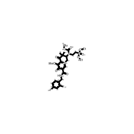 CCOP(=O)(CCN(C(=O)OC(C)(C)C)C1Cn2cc(C(=O)NCc3ccc(F)cc3F)c(=O)c(OC)c2C(=O)C1(C)C)OCC